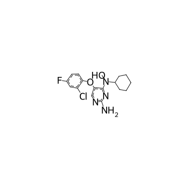 Nc1ncc(Oc2ccc(F)cc2Cl)c(N(O)C2CCCCC2)n1